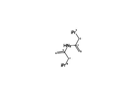 C=C(CC(C)C)NC(=C)CC(C)C